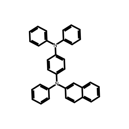 c1ccc(N(c2ccccc2)c2ccc(N(c3ccccc3)c3ccc4ccccc4c3)cc2)cc1